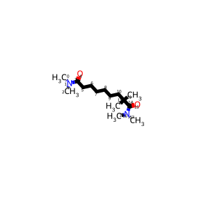 CN(C)C(=O)CCCCCCC(C)(C)C(=O)N(C)C